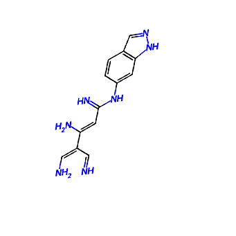 N=CC(=C\N)/C(N)=C/C(=N)Nc1ccc2cn[nH]c2c1